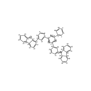 c1ccc(-c2nc(-c3cccc(-c4cccc5c4oc4ccccc45)c3)nc(-c3cccc(-n4c5ccccc5c5ccccc54)c3)n2)cc1